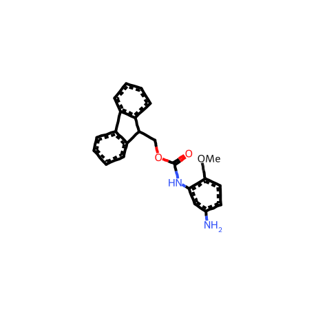 COc1ccc(N)cc1NC(=O)OCC1c2ccccc2-c2ccccc21